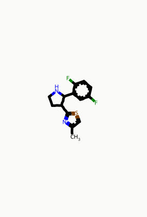 Cc1csc(C2CCNC2c2cc(F)ccc2F)n1